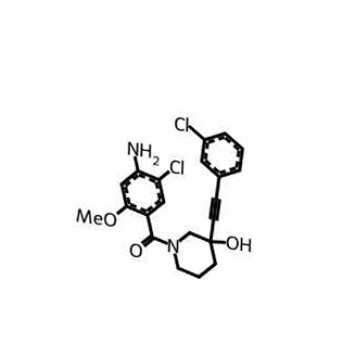 COc1cc(N)c(Cl)cc1C(=O)N1CCCC(O)(C#Cc2cccc(Cl)c2)C1